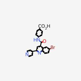 O=C(O)c1ccc(NC(=O)c2cc(-c3ccncc3)nc3ccc(Br)cc23)cc1